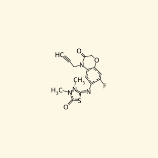 C#CCN1C(=O)COc2cc(F)c(N=c3sc(=O)n(C)n3C)cc21